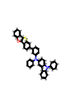 c1ccc(N(c2cccc(-c3ccc4c(c3)sc3c5ccccc5oc43)c2)c2ccc3c(c2)c2ccccc2n3-c2ccccc2)cc1